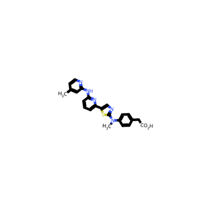 Cc1ccnc(Nc2cccc(-c3cnc(N(C)c4ccc(CC(=O)O)cc4)s3)n2)c1